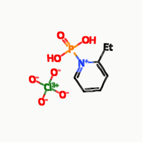 CCc1cccc[n+]1P(=O)(O)O.[O-][Cl+3]([O-])([O-])[O-]